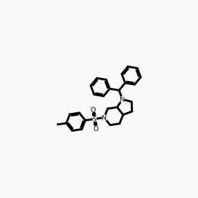 Cc1ccc(S(=O)(=O)N2CCC3CCN(C(c4ccccc4)c4ccccc4)C3C2)cc1